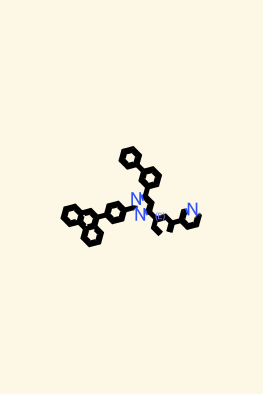 C=C/C(=C\C(=C)c1cccnc1)c1cc(-c2cccc(-c3ccccc3)c2)nc(-c2ccc(-c3cc4ccccc4c4ccccc34)cc2)n1